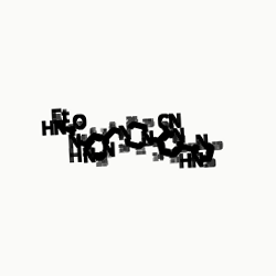 CCNC(=O)Nc1cc(CN2CCN(c3ccc(-c4ncc[nH]4)nc3C#N)CC2)ncn1